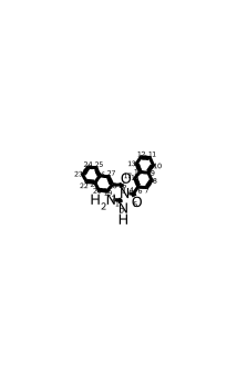 N=C(N)N(C(=O)c1ccc2ccccc2c1)C(=O)c1ccc2ccccc2c1